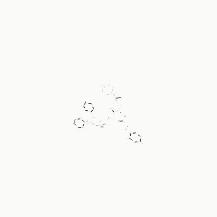 CN1CCN(C(=O)OCN(CC(=O)OCc2ccccc2)C(=O)OCOP(=O)(OCc2ccccc2)OCc2ccccc2)CC1